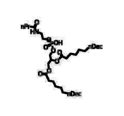 CCCCCCCCCCCCCCCC(=O)OCC(COP(=O)(O)OCCNC(=O)CCC)OC(=O)CCCCCCCCCCCCCCC